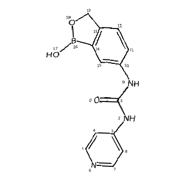 O=C(Nc1ccncc1)Nc1ccc2c(c1)B(O)OC2